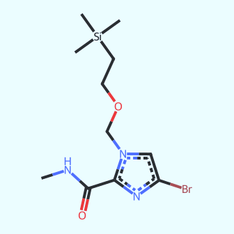 CNC(=O)c1nc(Br)cn1COCC[Si](C)(C)C